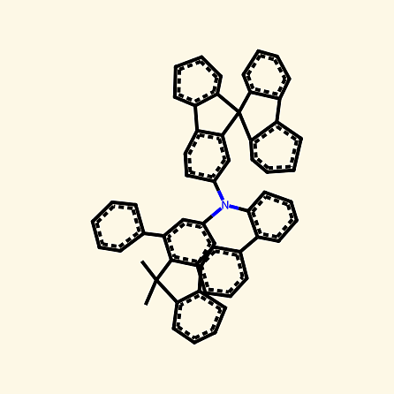 CC1(C)c2ccccc2-c2cc(N(c3ccc4c(c3)C3(c5ccccc5-c5ccccc53)c3ccccc3-4)c3ccccc3-c3ccccc3)cc(-c3ccccc3)c21